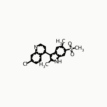 Cc1cc2c(-c3ccnc4cc(Cl)ccc34)c(C)[nH]c2cc1S(C)(=O)=O